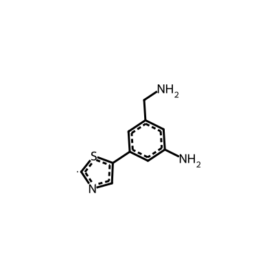 NCc1cc(N)cc(-c2cn[c]s2)c1